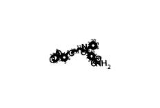 COC1(c2cccc(COCCCc3nc(-c4ccccc4)c(-c4ccc(S(N)(=O)=O)cc4)o3)c2)CCOCC1